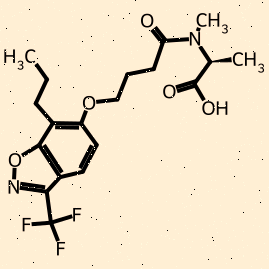 CCCc1c(OCCCC(=O)N(C)[C@@H](C)C(=O)O)ccc2c(C(F)(F)F)noc12